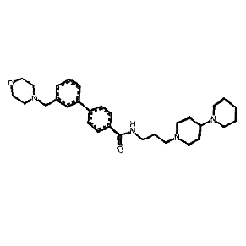 O=C(NCCCN1CCC(N2CCCCC2)CC1)c1ccc(-c2cccc(CN3CCOCC3)c2)cc1